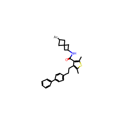 CC(=O)C1CC2(CC(NC(=O)c3c(C)sc(C)c3CCc3ccc(-c4ccccc4)cc3)C2)C1